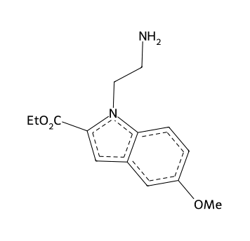 CCOC(=O)c1cc2cc(OC)ccc2n1CCN